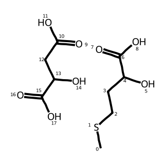 CSCCC(O)C(=O)O.O=C(O)CC(O)C(=O)O